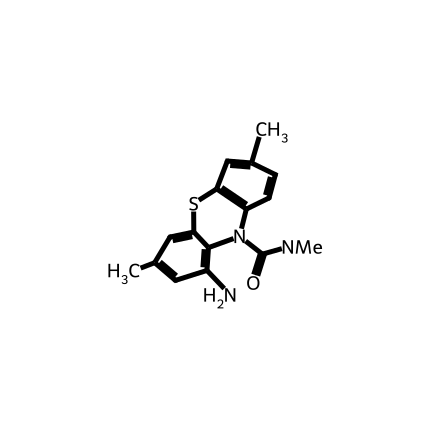 CNC(=O)N1c2ccc(C)cc2Sc2cc(C)cc(N)c21